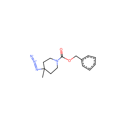 CC1(N=[N+]=[N-])CCN(C(=O)OCc2ccccc2)CC1